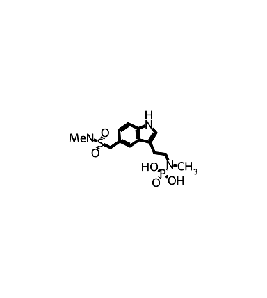 CNS(=O)(=O)Cc1ccc2[nH]cc(CCN(C)P(=O)(O)O)c2c1